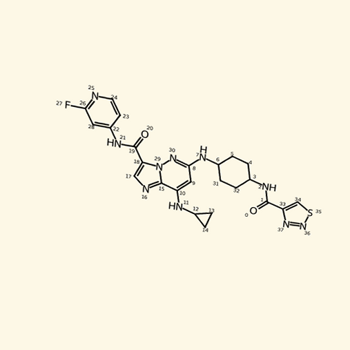 O=C(NC1CCC(Nc2cc(NC3CC3)c3ncc(C(=O)Nc4ccnc(F)c4)n3n2)CC1)c1csnn1